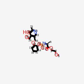 COCCOC(=O)[C@H](C)N=[P+]([O-])Oc1ccccc1OCc1cnc(C)c(O)c1C=O